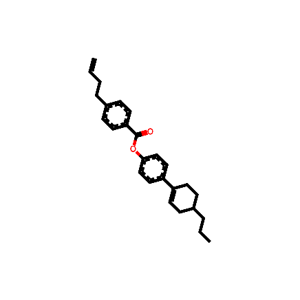 C=CCCc1ccc(C(=O)Oc2ccc(C3=CCC(CCC)CC3)cc2)cc1